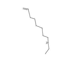 C=CCCCCC[CH2][Zn][CH2]C